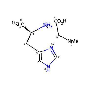 CNCC(=O)O.N[C@@H](Cc1c[nH]cn1)C(=O)O